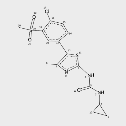 Cc1nc(NC(=O)NC2CC2)sc1-c1ccc(Cl)c(S(C)(=O)=O)c1